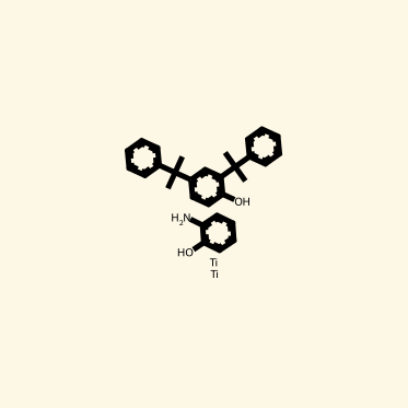 CC(C)(c1ccccc1)c1ccc(O)c(C(C)(C)c2ccccc2)c1.Nc1ccccc1O.[Ti].[Ti]